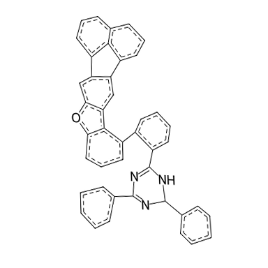 c1ccc(C2=NC(c3ccccc3)NC(c3ccccc3-c3cccc4oc5cc6c(cc5c34)-c3cccc4cccc-6c34)=N2)cc1